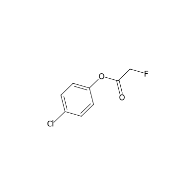 O=C(CF)Oc1ccc(Cl)cc1